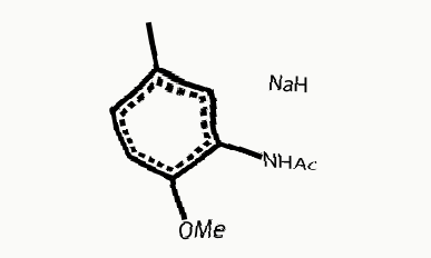 COc1ccc(C)cc1NC(C)=O.[NaH]